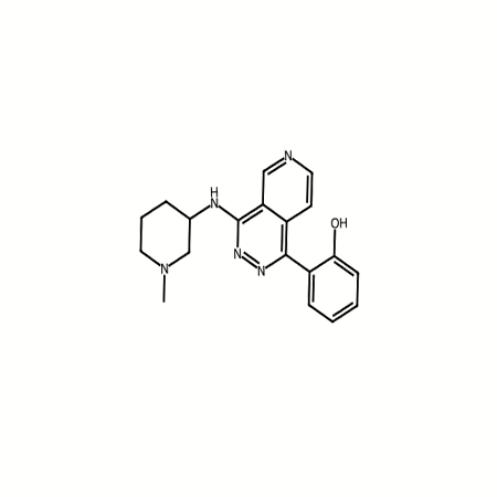 CN1CCCC(Nc2nnc(-c3ccccc3O)c3ccncc23)C1